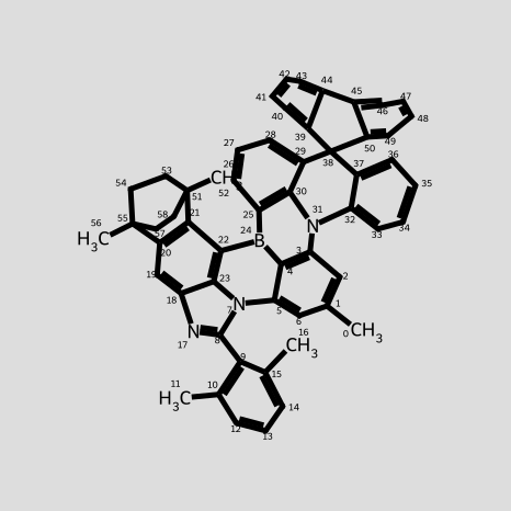 Cc1cc2c3c(c1)-n1c(-c4c(C)cccc4C)nc4cc5c(c(c41)B3c1cccc3c1N2c1ccccc1C31c2ccccc2-c2ccccc21)C1(C)CCC5(C)CC1